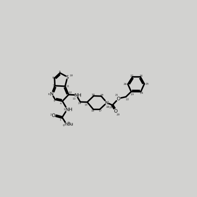 CCCCC(=O)Nc1cnc2ccsc2c1NCC1CCN(C(=O)OCc2ccccc2)CC1